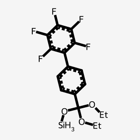 CCOC(O[SiH3])(OCC)c1ccc(-c2c(F)c(F)c(F)c(F)c2F)cc1